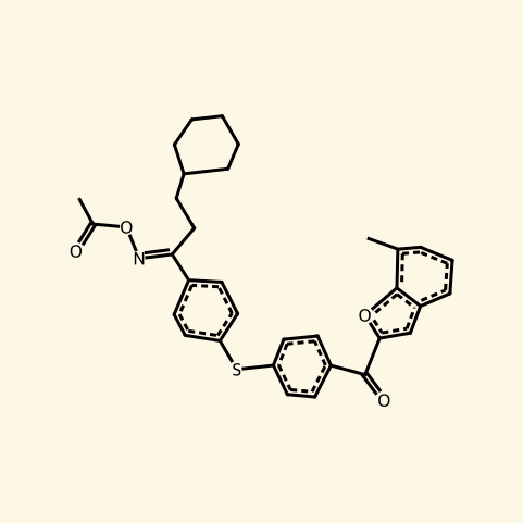 CC(=O)ON=C(CCC1CCCCC1)c1ccc(Sc2ccc(C(=O)c3cc4cccc(C)c4o3)cc2)cc1